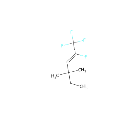 CCC(C)(C)/C=C(\F)C(F)(F)F